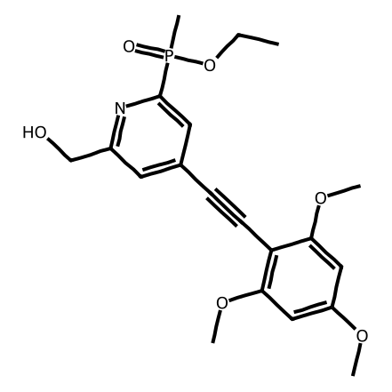 CCOP(C)(=O)c1cc(C#Cc2c(OC)cc(OC)cc2OC)cc(CO)n1